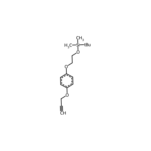 C#CCOc1ccc(OCCO[Si](C)(C)C(C)(C)C)cc1